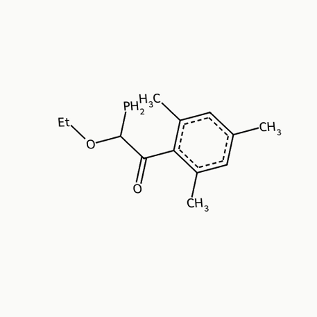 [CH2]COC(P)C(=O)c1c(C)cc(C)cc1C